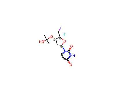 CC(C)(O)O[C@H]1C[C@H](n2ccc(=O)[nH]c2=O)O[C@]1(F)CI